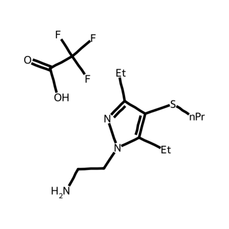 CCCSc1c(CC)nn(CCN)c1CC.O=C(O)C(F)(F)F